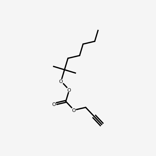 C#CCOC(=O)OOC(C)(C)CCCCC